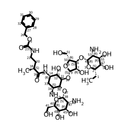 CC[C@@H]1O[C@H](O[C@H]2[C@@H](O)[C@H](O[C@@H]3[C@@H](O)[C@H](NC(=O)[C@@H](C)CCNC(=O)OCc4ccccc4)C[C@H](N)[C@H]3O[C@H]3O[C@H](CO)[C@@H](O)[C@H](O)[C@H]3N)O[C@@H]2CO)[C@H](N)[C@@H](O)[C@@H]1O